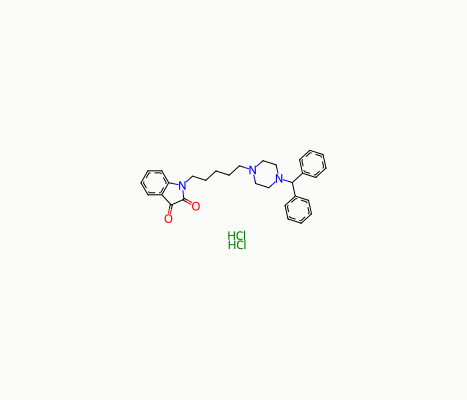 Cl.Cl.O=C1C(=O)N(CCCCCN2CCN(C(c3ccccc3)c3ccccc3)CC2)c2ccccc21